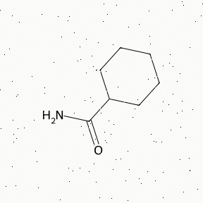 NC(=O)C1[CH]CCCC1